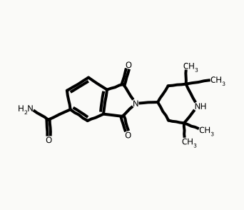 CC1(C)CC(N2C(=O)c3ccc(C(N)=O)cc3C2=O)CC(C)(C)N1